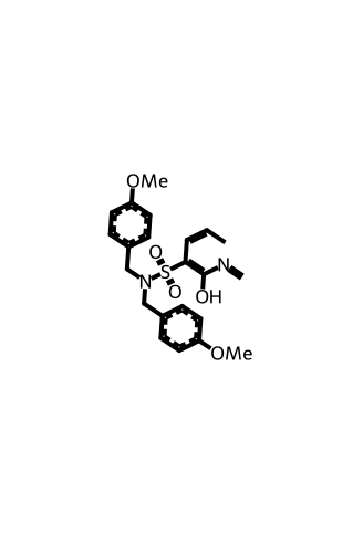 C=N/C(O)=C(\C=C/C)S(=O)(=O)N(Cc1ccc(OC)cc1)Cc1ccc(OC)cc1